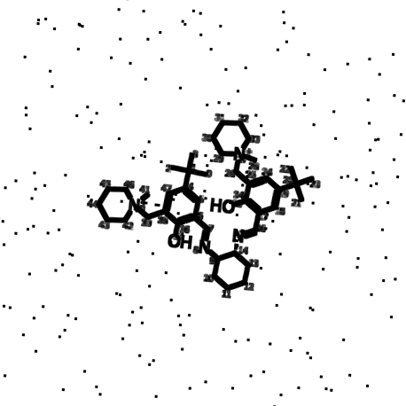 CC(C)(C)c1cc(/C=N/C2CCCC[C@H]2/N=C/c2cc(C(C)(C)C)cc(C[N+]3(C)CCCCC3)c2O)c(O)c(C[N+]2(C)CCCCC2)c1